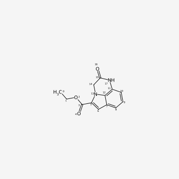 CCOC(=O)c1cc2cccc3c2n1CC(=O)N3